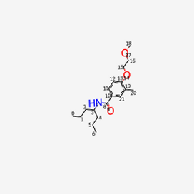 CCCC(CCC)NC(=O)c1ccc(OCCOC)c(C)c1